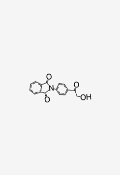 O=C(CO)c1ccc(N2C(=O)c3ccccc3C2=O)cc1